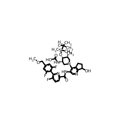 COCc1cc(F)c(-c2nc(C(=O)Nc3cnc4c(c3N3C[C@H](C)[C@@H](O[Si](C)(C)C(C)(C)C)[C@H](NC(=O)O)C3)CCC4O)ccc2F)c(F)c1